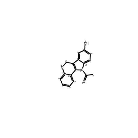 CC(=O)n1c2c(c3cc(O)ccc31)COc1ccccc1-2